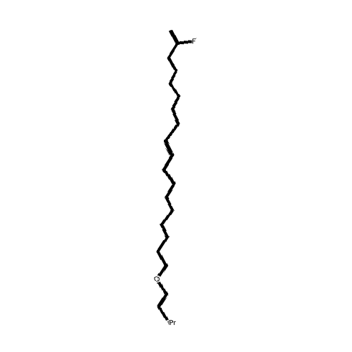 CC(C)CCOCCCCCCCCCCCCCCCCC(C)F